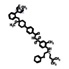 C/C=C\C(=C/C)c1ccccc1CC1(OC)CCN(c2ccc(C(=O)NS(=O)(=O)c3ccc(N[C@H](CCN(C)C)CSC4=CCCC=C4)c(C)c3)cc2)CC1